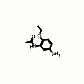 CCOc1ccc(N)cc1NC(C)=O